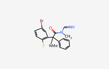 CNC(C(=O)N(C)C=N)(c1ccccc1)c1cc(Br)ccc1F